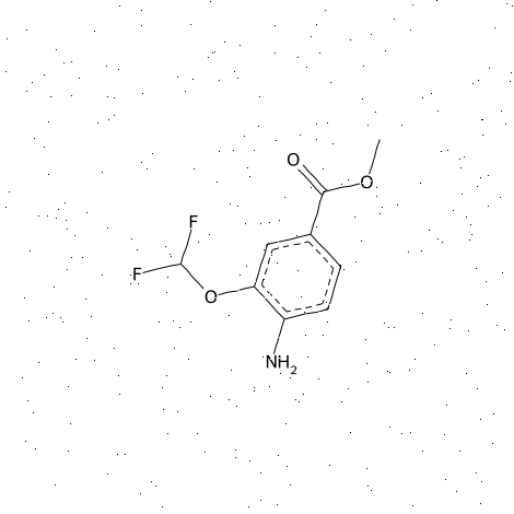 COC(=O)c1ccc(N)c(OC(F)F)c1